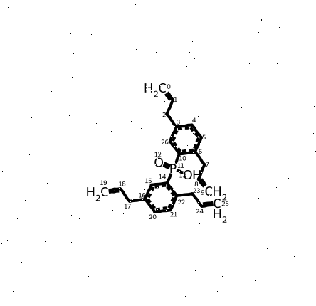 C=CCc1ccc(CC=C)c(P(=O)(O)c2cc(CC=C)ccc2CC=C)c1